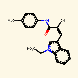 COc1ccc(NC(=O)C(C#N)=Cc2cn(CC(=O)O)c3ccccc23)cc1